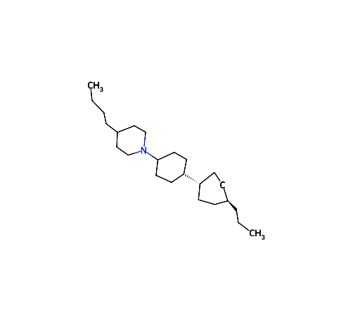 CCCCC1CCN(C2CCC([C@H]3CC[C@H](CCC)CC3)CC2)CC1